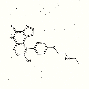 CCNCCOc1ccc(-c2c(O)ccc3[nH]c(=O)c4sccc4c23)cc1